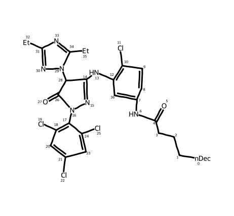 CCCCCCCCCCCCCC(=O)Nc1ccc(Cl)c(NC2=NN(c3c(Cl)cc(Cl)cc3Cl)C(=O)C2n2nc(CC)nc2CC)c1